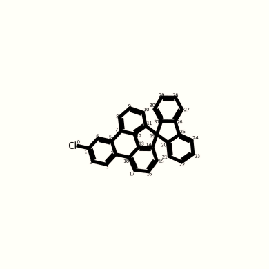 Clc1ccc2c(c1)c1cccc3c1c1c(cccc21)C31c2ccccc2-c2ccccc21